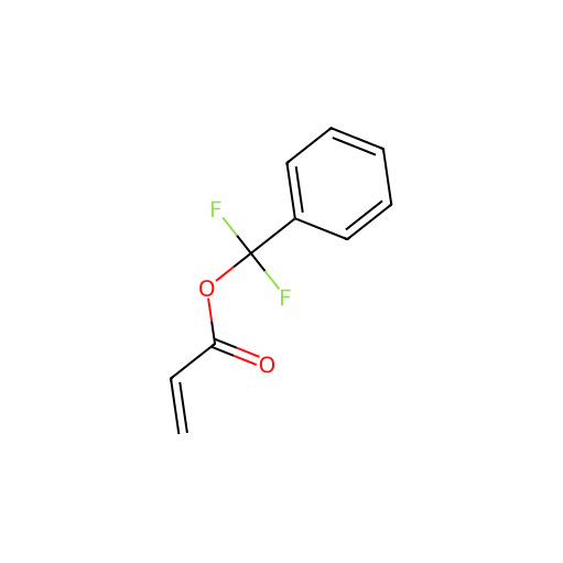 C=CC(=O)OC(F)(F)c1ccccc1